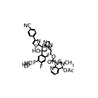 CC(=O)OC(c1cccnc1NC(=O)OCC[N+]1(C[C@](O)(c2cc(F)c(F)cc2F)[C@@H](C)c2nc(-c3ccc(C#N)cc3)cs2)C=NC=N1)N(C)C.Cl.Cl.[Cl-]